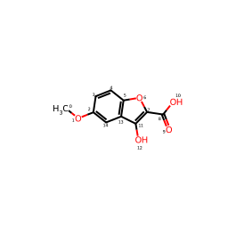 COc1ccc2oc(C(=O)O)c(O)c2c1